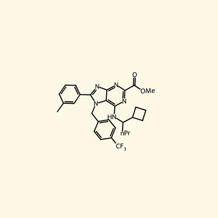 CCCC(Nc1nc(C(=O)OC)nc2nc(-c3cccc(C)c3)n(Cc3ccc(C(F)(F)F)cc3)c12)C1CCC1